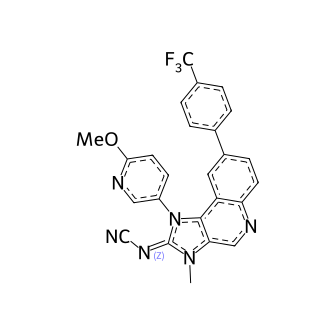 COc1ccc(-n2/c(=N\C#N)n(C)c3cnc4ccc(-c5ccc(C(F)(F)F)cc5)cc4c32)cn1